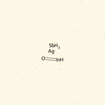 [Ag].[O]=[InH].[SbH3]